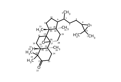 CC(CCC1OC1(C)C)C1CC[C@@]2(C)C34CC[C@H]5C(C)(C)C(=O)CC[C@]5(C)[C@@]3(CC[C@]12C)O4